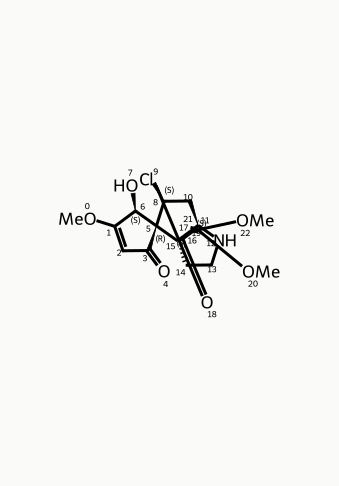 COC1=CC(=O)[C@@]2([C@@H]1O)[C@@H](Cl)C[C@]13NCC[C@]21CC(=O)C(OC)=C3OC